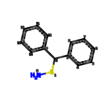 NSC(c1ccccc1)c1ccccc1